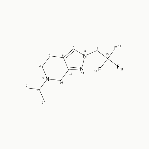 CC(C)N1CCc2cn(CC(F)(F)F)nc2C1